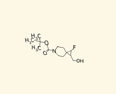 CC(C)(C)OC(=O)N1CCC2(CC1)C(F)C2CO